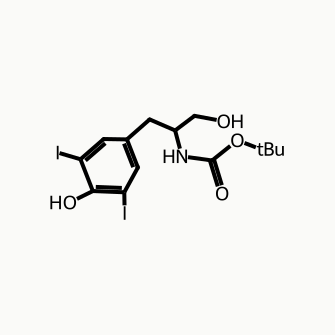 CC(C)(C)OC(=O)NC(CO)Cc1cc(I)c(O)c(I)c1